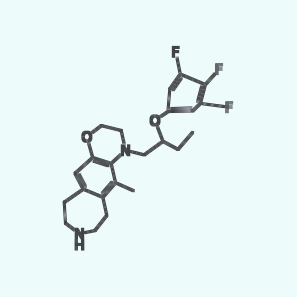 CCC(CN1CCOc2cc3c(c(C)c21)CCNCC3)Oc1cc(F)c(F)c(F)c1